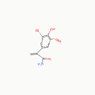 C=C(C(N)=O)c1cc(O)c(O)c(O)c1